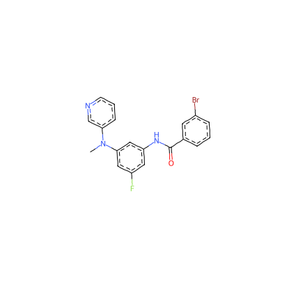 CN(c1cccnc1)c1cc(F)cc(NC(=O)c2cccc(Br)c2)c1